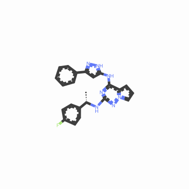 C[C@H](Nc1nc(Nc2cc(-c3ccccc3)n[nH]2)c2cccn2n1)c1ccc(F)cc1